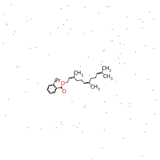 CC(C)=CCCC(C)=CCCC(C)=CCOC(=O)c1ccccc1C(C)C